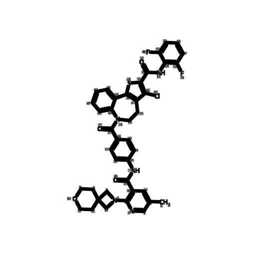 Cc1cnc(N2CC3(CCOCC3)C2)c(C(=O)Nc2ccc(C(=O)N3CCc4c(sc(C(=O)Nc5c(F)cccc5F)c4Cl)-c4ccccc43)cc2)c1